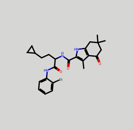 CCc1ccccc1NC(=O)C(CCC1CC1)NC(=O)c1[nH]c2c(c1C)C(=O)CC(C)(C)C2